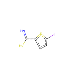 N=C(S)c1ccc(I)s1